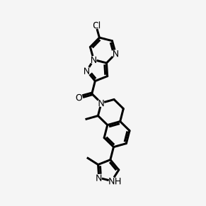 Cc1n[nH]cc1-c1ccc2c(c1)C(C)N(C(=O)c1cc3ncc(Cl)cn3n1)CC2